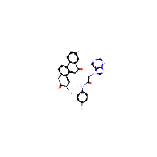 CC(C)c1ccc(NC(=O)Cn2cnc3ncncc32)cc1.CC1C=c2c(ccc3c2=CC(=O)c2ccccc2-3)CC1=O